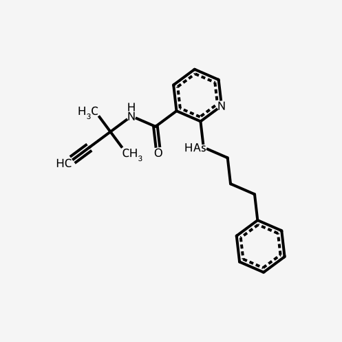 C#CC(C)(C)NC(=O)c1cccnc1[AsH]CCCc1ccccc1